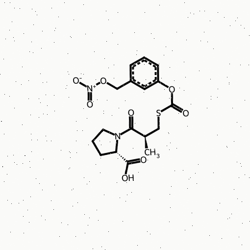 C[C@H](CSC(=O)Oc1cccc(CO[N+](=O)[O-])c1)C(=O)N1CCC[C@H]1C(=O)O